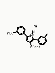 CCCCCC1=C(c2cccc(C)c2)[N+](=[N-])C(c2cccc(CCCC)c2)=C1.[Ni]